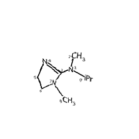 CC(C)N(C)C1=NCCN1C